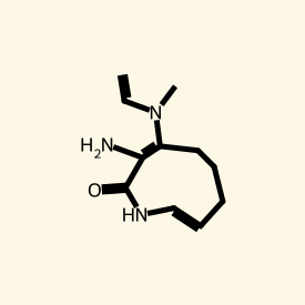 C=CN(C)/C1=C(\N)C(=O)N/C=C/CCC1